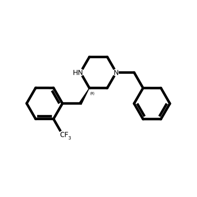 FC(F)(F)C1=CCCC=C1C[C@@H]1CN(CC2C=CC=CC2)CCN1